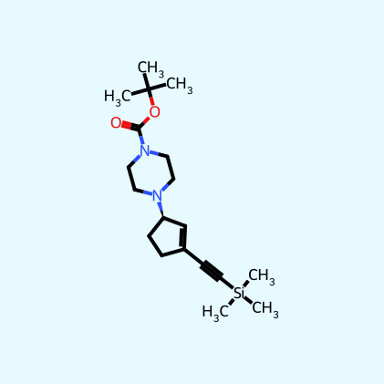 CC(C)(C)OC(=O)N1CCN([C@H]2C=C(C#C[Si](C)(C)C)CC2)CC1